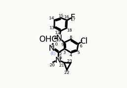 C/N=C(\c1ccc(Cl)cc1N(C=O)c1cccc(F)c1)N(C)C1CC1